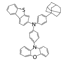 c1ccc2c(c1)Oc1ccccc1N2c1ccc(N(c2ccc(C34CC5CC(CC(C5)C3)C4)cc2)c2ccc3c(c2)sc2ccccc23)cc1